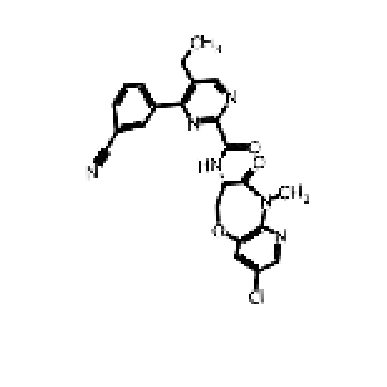 CCc1cnc(C(=O)N[C@H]2COc3cc(Cl)cnc3N(C)C2=O)nc1-c1cccc(C#N)c1